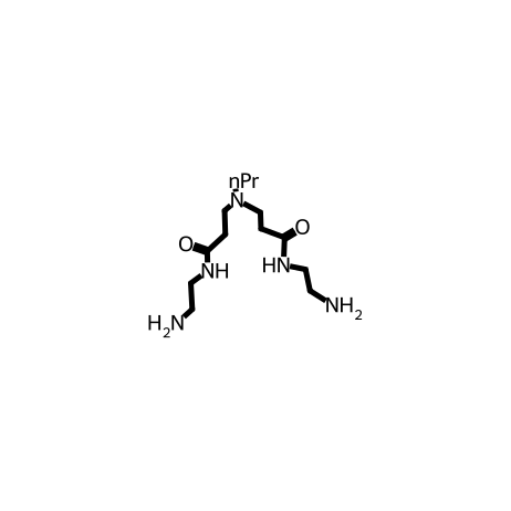 CCCN(CCC(=O)NCCN)CCC(=O)NCCN